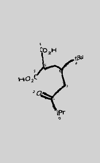 CC(C)C(=O)CC(C(C(=O)O)C(=O)O)C(C)(C)C